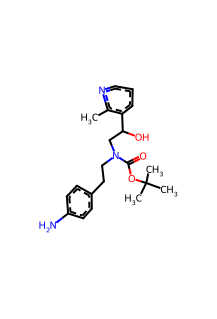 Cc1ncccc1C(O)CN(CCc1ccc(N)cc1)C(=O)OC(C)(C)C